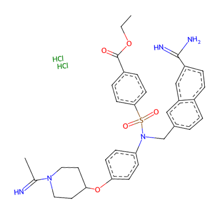 CCOC(=O)c1ccc(S(=O)(=O)N(Cc2ccc3ccc(C(=N)N)cc3c2)c2ccc(OC3CCN(C(C)=N)CC3)cc2)cc1.Cl.Cl